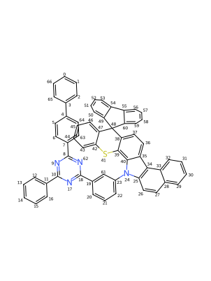 c1ccc(-c2ccc(-c3nc(-c4ccccc4)nc(-c4cccc(-n5c6ccc7ccccc7c6c6ccc7c(c65)Sc5ccccc5C75c6ccccc6-c6ccccc65)c4)n3)cc2)cc1